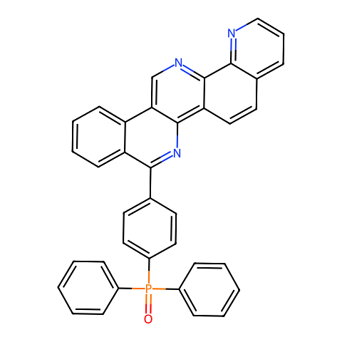 O=P(c1ccccc1)(c1ccccc1)c1ccc(-c2nc3c(cnc4c3ccc3cccnc34)c3ccccc23)cc1